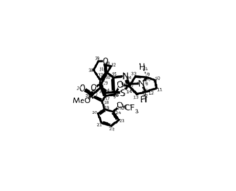 COC(=O)c1cc2sc(N3[C@@H]4CC[C@H]3CC(OCc3c(-c5ccccc5OC(F)(F)F)noc3C3CC3)C4)nc2c2c1CCO2